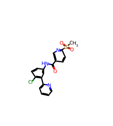 CS(=O)(=O)c1ccc(C(=O)Nc2ccc(Cl)c(-c3ccccn3)c2)cn1